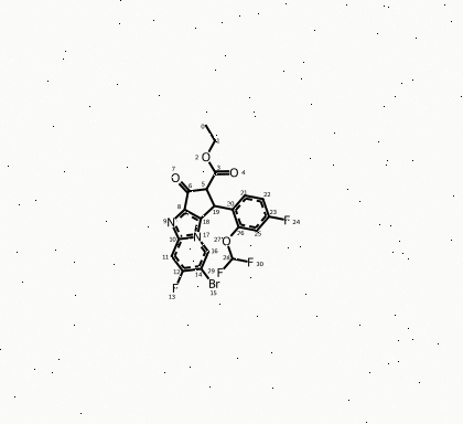 CCOC(=O)C1C(=O)c2nc3cc(F)c(Br)cn3c2C1c1ccc(F)cc1OC(F)F